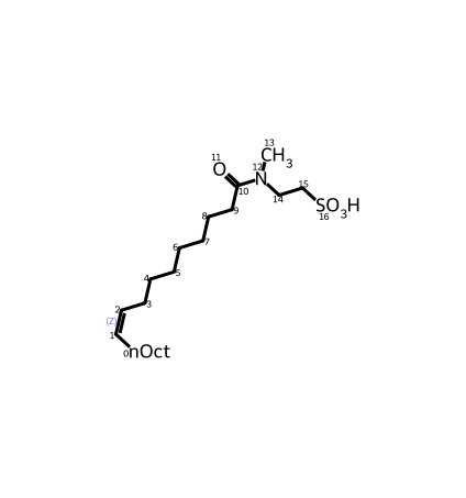 CCCCCCCC/C=C\CCCCCCCC(=O)N(C)CCS(=O)(=O)O